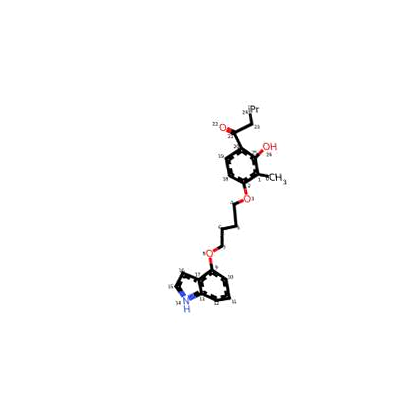 Cc1c(OCCCCOc2cccc3[nH]ccc23)ccc(C(=O)CC(C)C)c1O